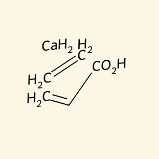 C=C.C=CC(=O)O.[CaH2]